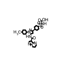 Cc1ccc(-n2nc(-c3ccc(S(=O)(=O)NC(=O)O)cc3)cc2NC(=O)c2cnn3cccnc23)cc1